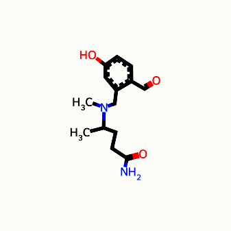 CC(CCC(N)=O)N(C)Cc1cc(O)ccc1C=O